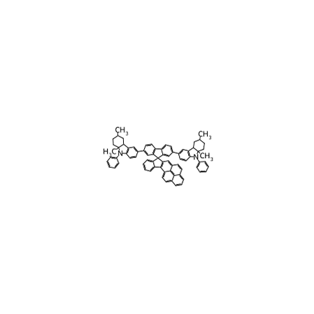 CC1CCC2(C)C(C1)c1cc(-c3ccc4c(c3)C3(c5cc(-c6ccc7c(c6)C6CC(C)CCC6(C)N7c6ccccc6)ccc5-4)c4ccccc4-c4c3cc3ccc5cccc6ccc4c3c56)ccc1N2c1ccccc1